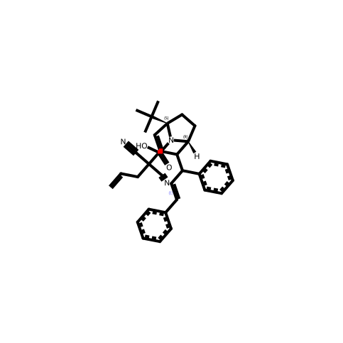 C=CCC(C#N)(C#N)C1=C[C@]2(C(C)(C)C)CC[C@H](C1C(/C=C/c1ccccc1)c1ccccc1)N2C(=O)O